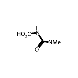 CNC(=O)NC(=O)O